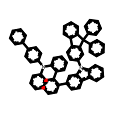 c1ccc(-c2ccc(N(c3ccccc3)c3ccccc3-c3ccccc3-c3ccc4c5ccccc5n(-c5ccc6c(c5)C(c5ccccc5)(c5ccccc5)c5ccccc5-6)c4c3)cc2)cc1